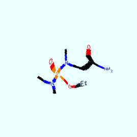 CCOP(=O)(N(C)C)N(C)CC(N)=O